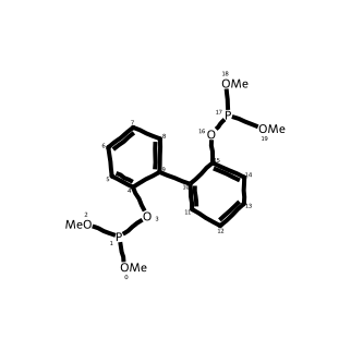 COP(OC)Oc1ccccc1-c1ccccc1OP(OC)OC